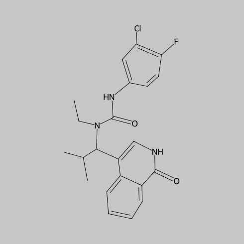 CCN(C(=O)Nc1ccc(F)c(Cl)c1)C(c1c[nH]c(=O)c2ccccc12)C(C)C